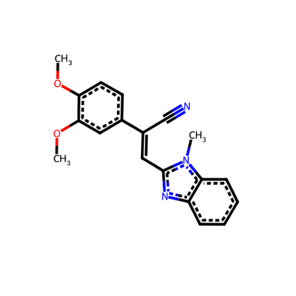 COc1ccc(C(C#N)=Cc2nc3ccccc3n2C)cc1OC